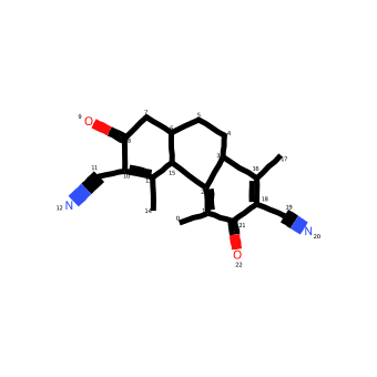 CC1=C2C(CCC3CC(=O)C(C#N)=C(C)C23)C(C)=C(C#N)C1=O